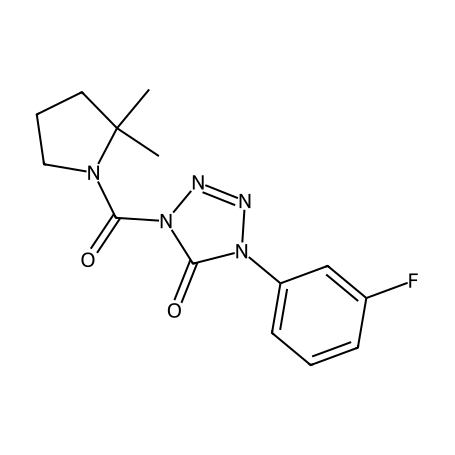 CC1(C)CCCN1C(=O)n1nnn(-c2cccc(F)c2)c1=O